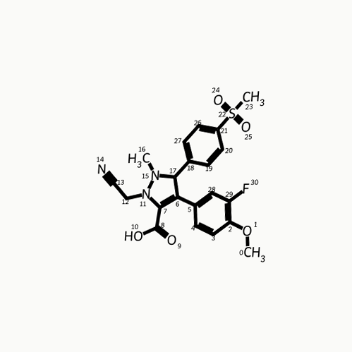 COc1ccc(C2=C(C(=O)O)N(CC#N)N(C)C2c2ccc(S(C)(=O)=O)cc2)cc1F